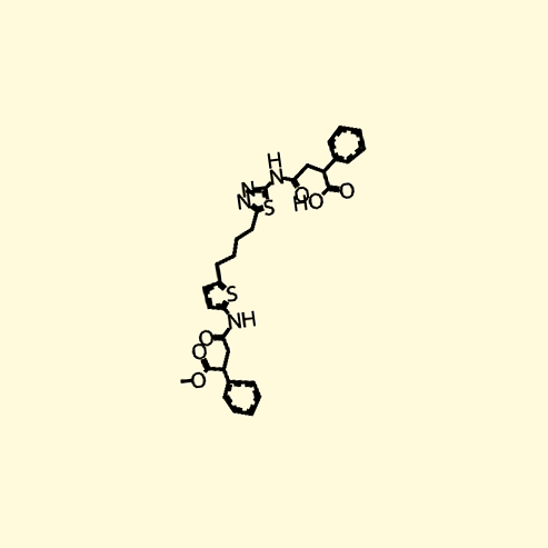 COC(=O)C(CC(=O)Nc1ccc(CCCCc2nnc(NC(=O)CC(C(=O)O)c3ccccc3)s2)s1)c1ccccc1